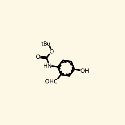 CC(C)(C)OC(=O)Nc1ccc(O)cc1C=O